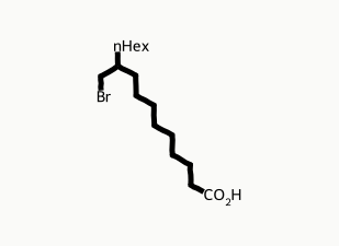 CCCCCCC(CBr)CCCCCCCCC(=O)O